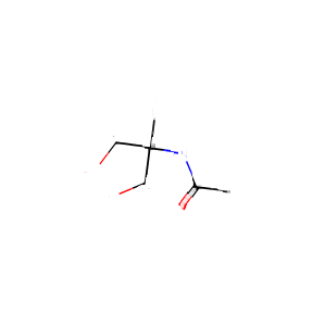 CCC(=O)NC(CC)(CO)CO